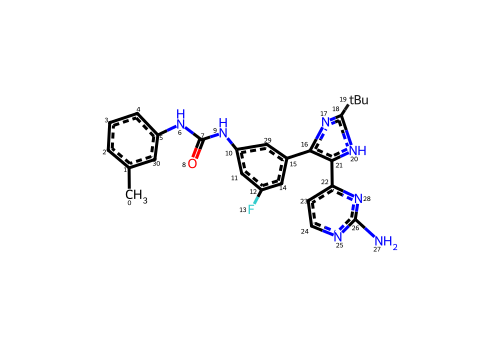 Cc1cccc(NC(=O)Nc2cc(F)cc(-c3nc(C(C)(C)C)[nH]c3-c3ccnc(N)n3)c2)c1